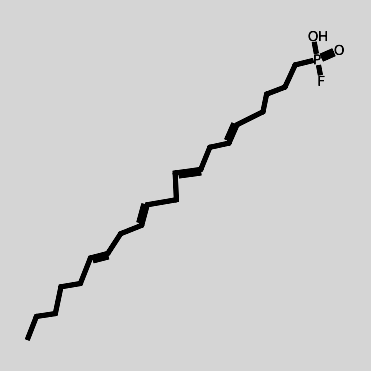 CCCCCC=CCC=CCC=CCC=CCCCCP(=O)(O)F